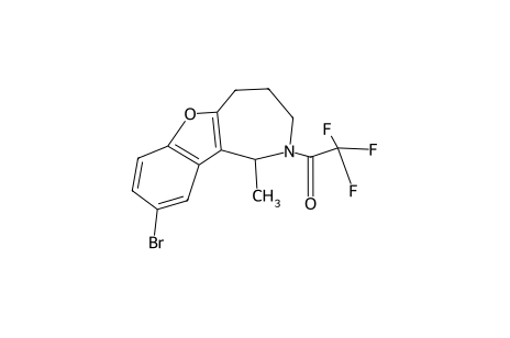 CC1c2c(oc3ccc(Br)cc23)CCCN1C(=O)C(F)(F)F